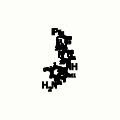 CC1CC2CC(CN)(C1)CC(C)C2Nc1cnc(N2CCC(C(C)C)CC2)nc1